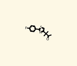 CC(=O)C(C)(C)c1csc(-c2ccc(F)cc2)n1